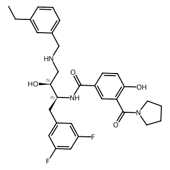 CCc1cccc(CNC[C@H](O)[C@H](Cc2cc(F)cc(F)c2)NC(=O)c2ccc(O)c(C(=O)N3CCCC3)c2)c1